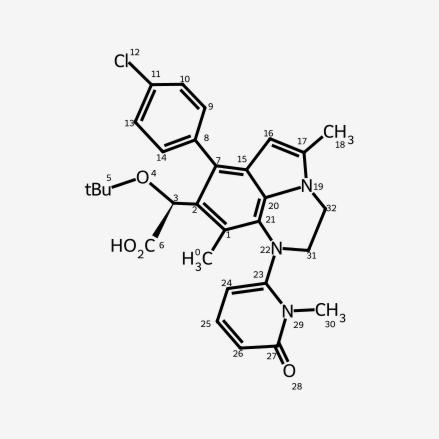 Cc1c([C@H](OC(C)(C)C)C(=O)O)c(-c2ccc(Cl)cc2)c2cc(C)n3c2c1N(c1cccc(=O)n1C)CC3